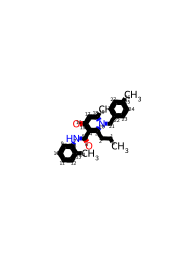 CCCc1c(C(=O)Nc2ccccc2C)c(=O)cc(C)n1Cc1ccc(C)cc1